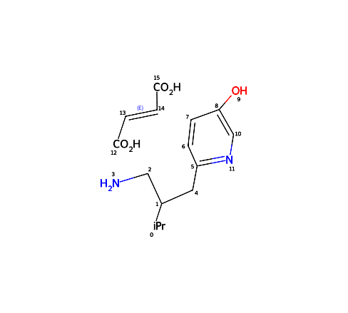 CC(C)C(CN)Cc1ccc(O)cn1.O=C(O)/C=C/C(=O)O